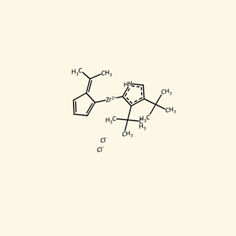 CC(C)=C1C=CC=[C]1[Zr+2][c]1[nH]cc(C(C)(C)C)c1C(C)(C)C.[Cl-].[Cl-]